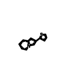 c1csc(-c2cc3ccccn3c2)c1